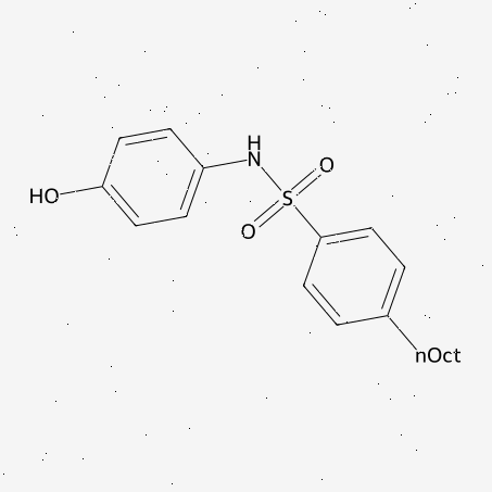 CCCCCCCCc1ccc(S(=O)(=O)Nc2ccc(O)cc2)cc1